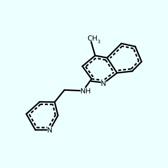 Cc1cc(NCc2cccnc2)nc2ccccc12